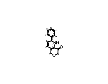 O=C1COCC2=C1NC(c1ccccc1)C=C2